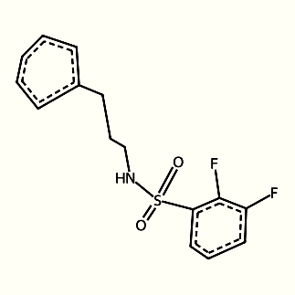 O=S(=O)(NCCCc1ccccc1)c1cccc(F)c1F